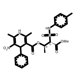 COC(=O)[C@H]([C@@H](C)OC(=O)C1=C(C)NC(C)=C([N+](=O)[O-])C1c1ccccc1)S(=O)(=O)Nc1ccc(C)cc1